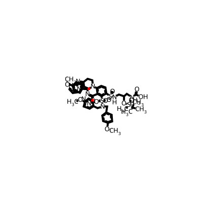 COc1ccc(CN(Cc2ccc(OC)cc2)S(=O)(=O)c2c(S(=O)(=O)NCC(CNC(=O)O)O[Si](C)(C)C(C)(C)C)ccc(N3CCc4nc5ncccn5c4C3)c2-c2nnnn2Cc2ccc(OC)cc2)cc1